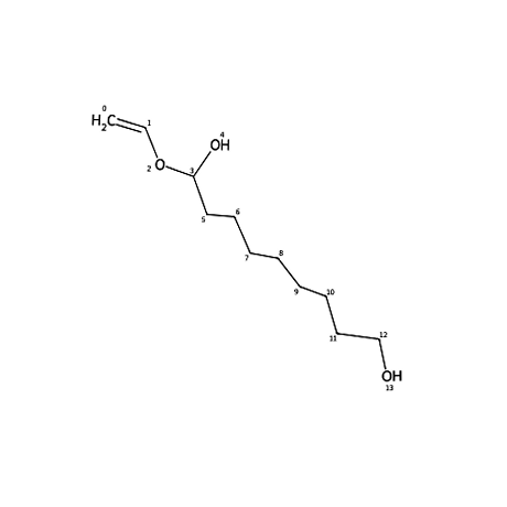 C=COC(O)CCCCCCCCO